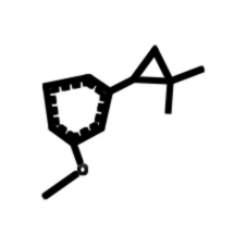 COc1cccc(C2CC2(C)C)c1